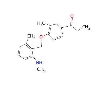 CCC(=O)c1ccc(OCc2c(C)cccc2NC)c(C)c1